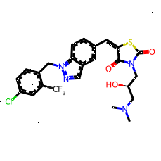 CN(C)C[C@@H](O)CN1C(=O)SC(=Cc2ccc3c(cnn3Cc3ccc(Cl)cc3C(F)(F)F)c2)C1=O